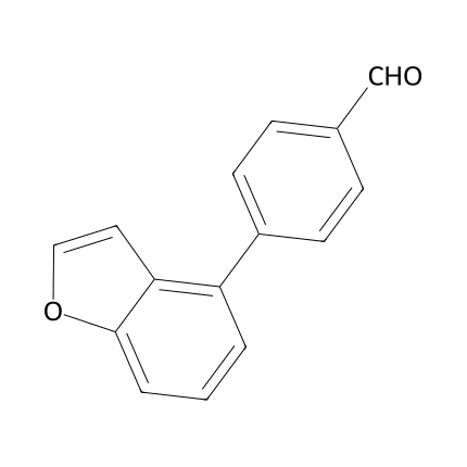 O=Cc1ccc(-c2cccc3occc23)cc1